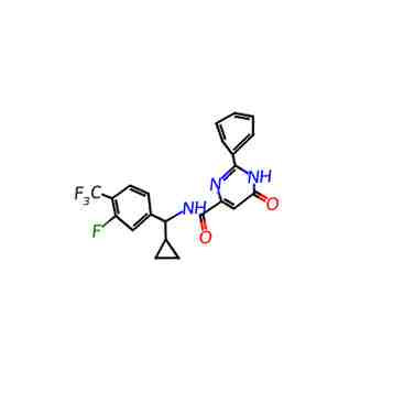 O=C(NC(c1ccc(C(F)(F)F)c(F)c1)C1CC1)c1cc(=O)[nH]c(-c2ccccc2)n1